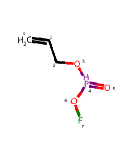 C=CCO[PH](=O)OF